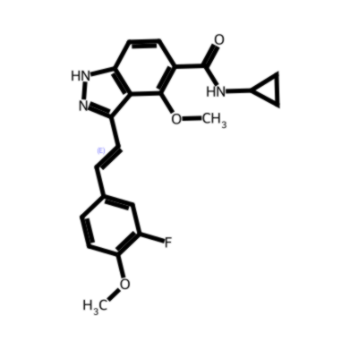 COc1ccc(/C=C/c2n[nH]c3ccc(C(=O)NC4CC4)c(OC)c23)cc1F